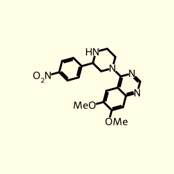 COc1cc2ncnc(N3CCNC(c4ccc([N+](=O)[O-])cc4)C3)c2cc1OC